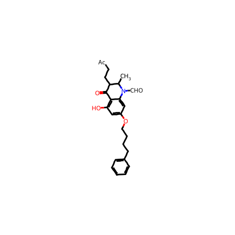 CC(=O)CCC1C(=O)c2c(O)cc(OCCCCc3ccccc3)cc2N(C=O)C1C